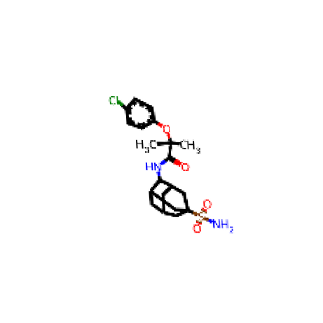 CC(C)(Oc1ccc(Cl)cc1)C(=O)NC1C2CC3CC1CC(S(N)(=O)=O)(C3)C2